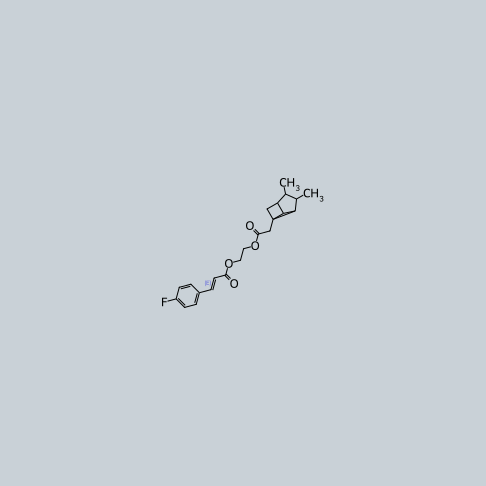 CC1C(C)C2C3C1CC23CC(=O)OCCOC(=O)/C=C/c1ccc(F)cc1